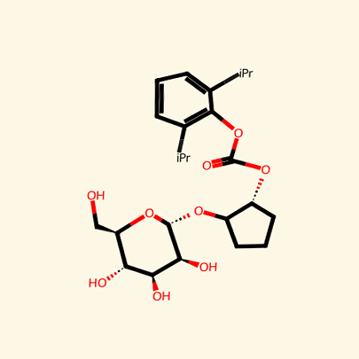 CC(C)c1cccc(C(C)C)c1OC(=O)O[C@@H]1CCCC1O[C@H]1O[C@H](CO)[C@@H](O)[C@H](O)[C@@H]1O